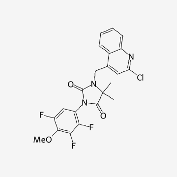 COc1c(F)cc(N2C(=O)N(Cc3cc(Cl)nc4ccccc34)C(C)(C)C2=O)c(F)c1F